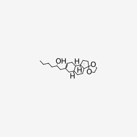 CCCC[C@H](O)CC1=CC[C@@H]2[C@H](CC[C@@]3(C)[C@H]2CCC32OCCO2)C1